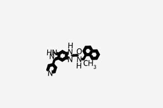 C[C@@H](NC(=O)c1nc2cc3c(-c4ccncc4)n[nH]c3cc2[nH]1)c1cccc2ccccc12